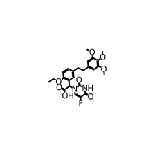 CCOc1ccc(CCc2cc(OC)c(OC)c(OC)c2)cc1C(C(=O)O)n1cc(F)c(=O)[nH]c1=O